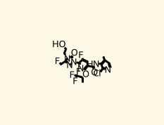 Cc1ccnc(Cl)c1NC(=O)c1cc(F)c(-n2nc(CF)n(CCO)c2=O)nc1OC(C)C(F)(F)F